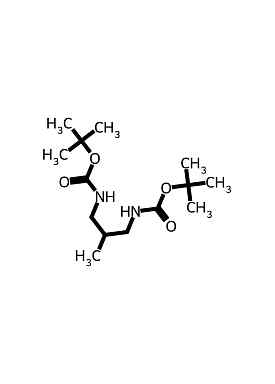 CC(CNC(=O)OC(C)(C)C)CNC(=O)OC(C)(C)C